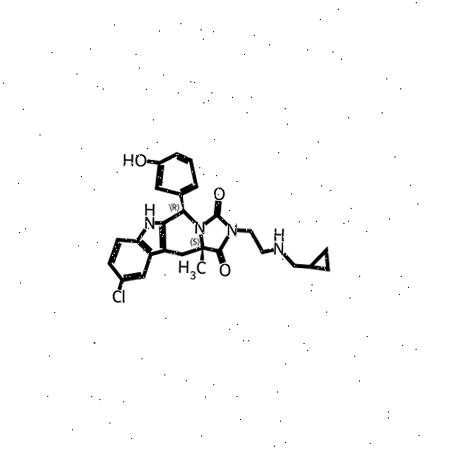 C[C@@]12Cc3c([nH]c4ccc(Cl)cc34)[C@@H](c3cccc(O)c3)N1C(=O)N(CCNCC1CC1)C2=O